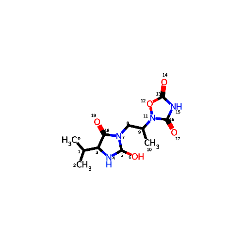 CC(C)C1NC(O)N(CC(C)n2oc(=O)[nH]c2=O)C1=O